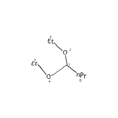 CCCC(OCC)OCC